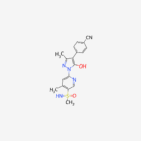 Cc1cc(-n2nc(C)c(-c3ccc(C#N)cc3)c2O)ncc1S(C)(=N)=O